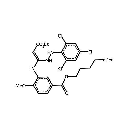 CCCCCCCCCCCCCCOC(=O)c1ccc(OC)c(NC(=CC(=O)OCC)NNc2c(Cl)cc(Cl)cc2Cl)c1